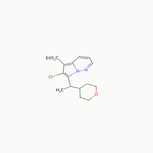 CCOC(=O)c1c(Cl)c(C(C)C2CCOCC2)n2ncccc12